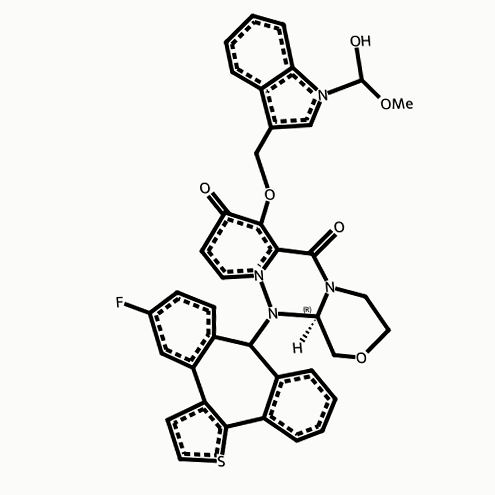 COC(O)n1cc(COc2c3n(ccc2=O)N(C2c4ccc(F)cc4-c4ccsc4-c4ccccc42)[C@@H]2COCCN2C3=O)c2ccccc21